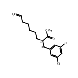 C=CCCCCC[C@H](Nc1cc(Cl)cc(Cl)c1)C(=O)OC